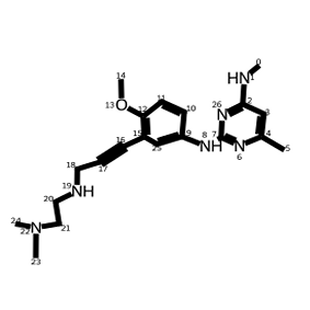 CNc1cc(C)nc(Nc2ccc(OC)c(C#CCNCCN(C)C)c2)n1